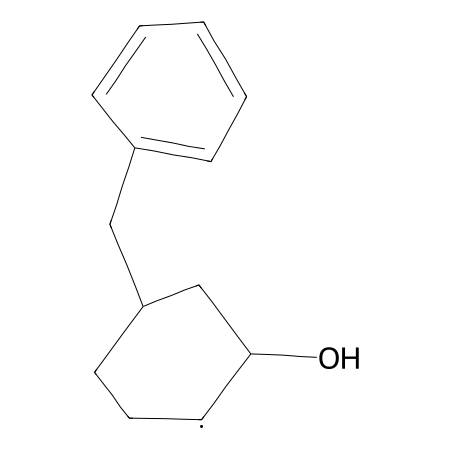 OC1[CH]CCC(Cc2ccccc2)C1